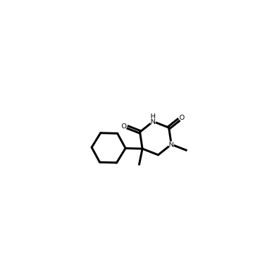 CN1CC(C)(C2CCCCC2)C(=O)NC1=O